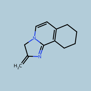 C=C1CN2C=CC3=C(CCCC3)C2=N1